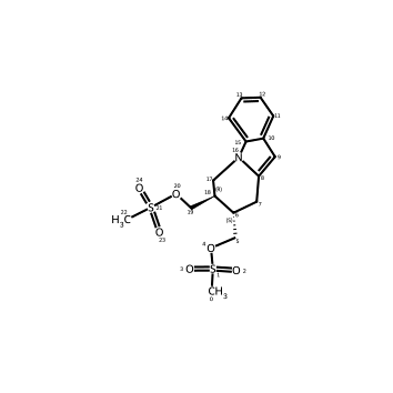 CS(=O)(=O)OC[C@H]1Cc2cc3ccccc3n2C[C@@H]1COS(C)(=O)=O